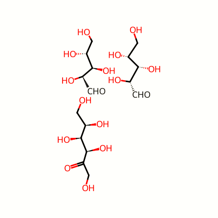 O=C(CO)[C@H](O)[C@@H](O)[C@H](O)CO.O=C[C@@H](O)[C@H](O)[C@H](O)CO.O=C[C@H](O)[C@@H](O)[C@H](O)CO